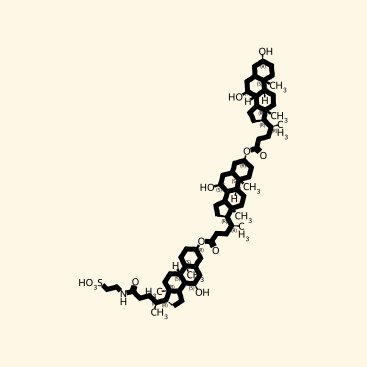 C[C@H](CCC(=O)NCCS(=O)(=O)O)[C@H]1CCC2C3[C@@H](O)CC4C[C@H](OC(=O)CC[C@@H](C)[C@H]5CCC6C7[C@@H](O)CC8C[C@H](OC(=O)CC[C@@H](C)[C@H]9CCC%10[C@@H]%11[C@@H](O)CC%12C[C@H](O)CC[C@]%12(C)[C@H]%11CC[C@@]%109C)CC[C@]8(C)[C@H]7CC[C@@]65C)CC[C@]4(C)[C@H]3CC[C@@]21C